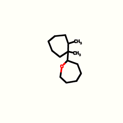 CC1CCCCCC1(C)C1CCCCCO1